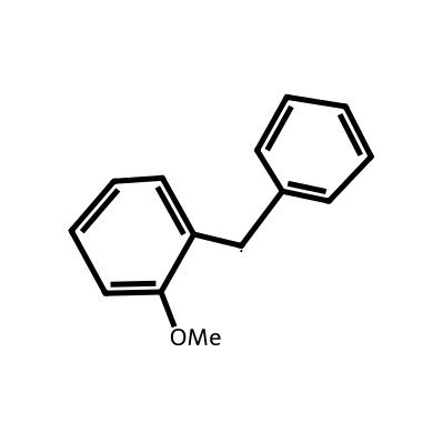 COc1ccccc1[CH]c1ccccc1